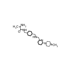 C[C@H](N)C(=O)NCc1ccc(CNCc2cccc(N3CCN(C)CC3)n2)cc1